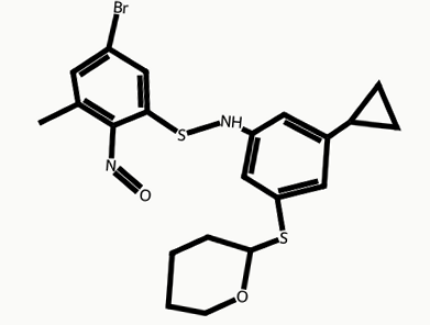 Cc1cc(Br)cc(SNc2cc(SC3CCCCO3)cc(C3CC3)c2)c1N=O